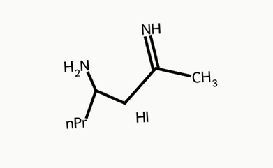 CCCC(N)CC(C)=N.I